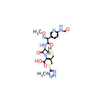 CON=C(C(=O)NC1C(=O)N2C(C(=O)O)=C(CSc3nnnn3C)CS[C@@H]12)c1ccc(NC=O)nc1